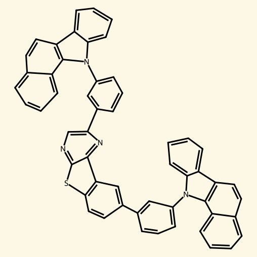 c1cc(-c2ccc3sc4ncc(-c5cccc(-n6c7ccccc7c7ccc8ccccc8c76)c5)nc4c3c2)cc(-n2c3ccccc3c3ccc4ccccc4c32)c1